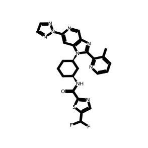 Cc1cccnc1-c1nc2cnc(-n3nccn3)cc2n1[C@@H]1CCC[C@H](NC(=O)c2ncc(C(F)F)s2)C1